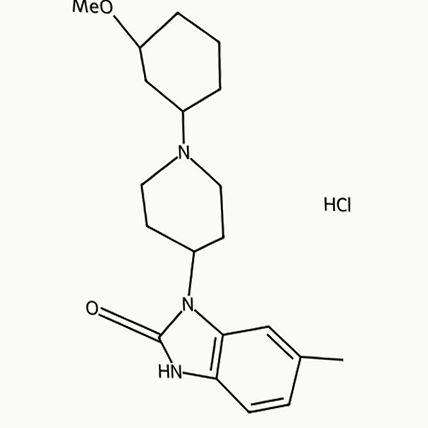 COC1CCCC(N2CCC(n3c(=O)[nH]c4ccc(C)cc43)CC2)C1.Cl